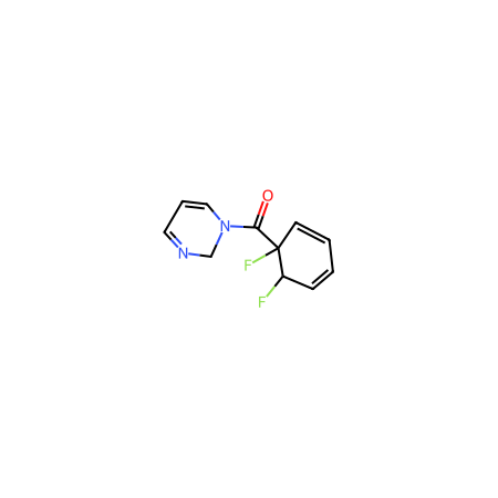 O=C(N1C=CC=NC1)C1(F)C=CC=CC1F